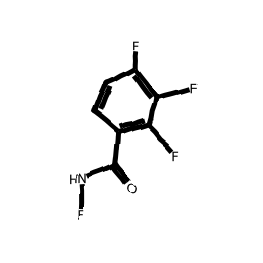 O=C(NF)c1ccc(F)c(F)c1F